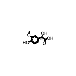 COc1cc([C@@H](O)C(=O)O)ccc1O